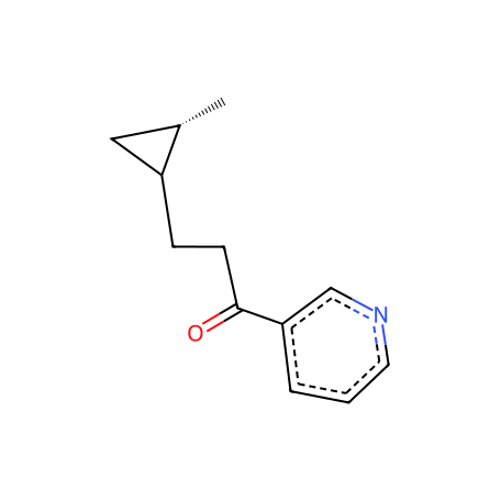 C[C@H]1CC1CCC(=O)c1cccnc1